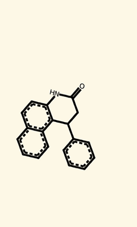 O=C1CC(c2ccccc2)c2c(ccc3ccccc23)N1